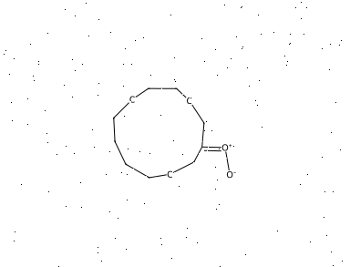 [O-][O+]=C1CCCCCCCCCCC1